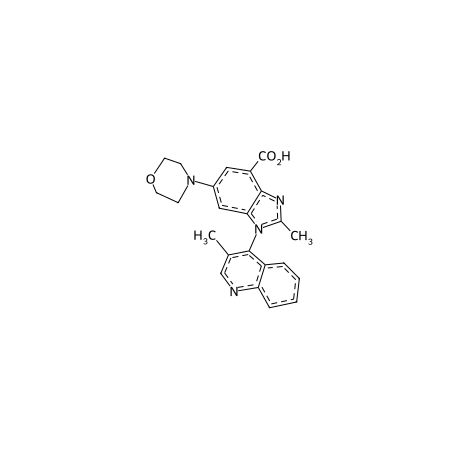 Cc1cnc2ccccc2c1-n1c(C)nc2c(C(=O)O)cc(N3CCOCC3)cc21